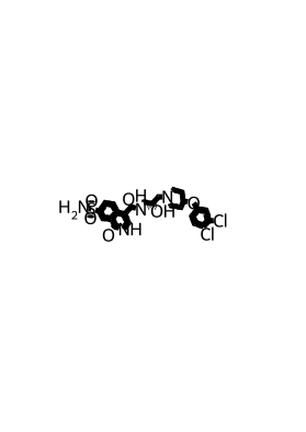 NS(=O)(=O)c1ccc2c(C(=O)NC[C@@H](O)CN3CCC(Oc4ccc(Cl)c(Cl)c4)CC3)c[nH]c(=O)c2c1